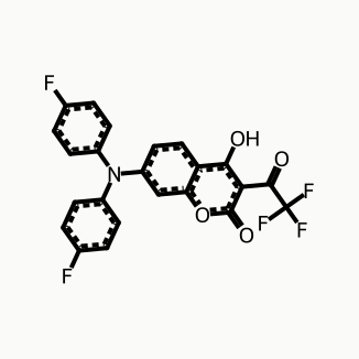 O=C(c1c(O)c2ccc(N(c3ccc(F)cc3)c3ccc(F)cc3)cc2oc1=O)C(F)(F)F